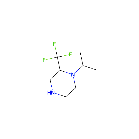 CC(C)N1CCNCC1C(F)(F)F